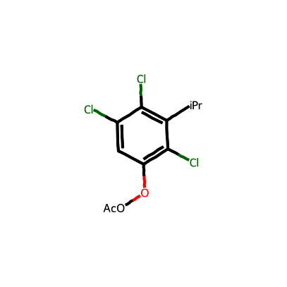 CC(=O)OOc1cc(Cl)c(Cl)c(C(C)C)c1Cl